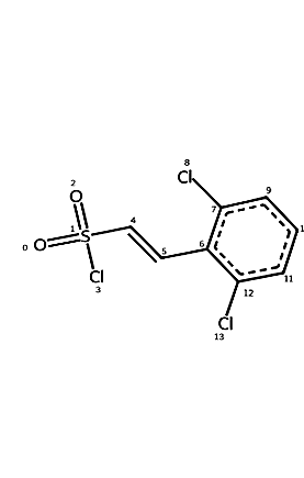 O=S(=O)(Cl)/C=C/c1c(Cl)cccc1Cl